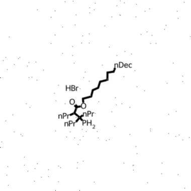 Br.CCCCCCCCCCCCCCCCCCOC(=O)C(CCC)C(P)(CCC)CCC